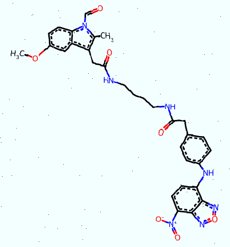 COc1ccc2c(c1)c(CC(=O)NCCCCNC(=O)Cc1ccc(Nc3ccc([N+](=O)[O-])c4nonc34)cc1)c(C)n2C=O